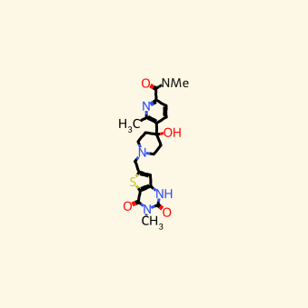 CNC(=O)c1ccc(C2(O)CCN(Cc3cc4[nH]c(=O)n(C)c(=O)c4s3)CC2)c(C)n1